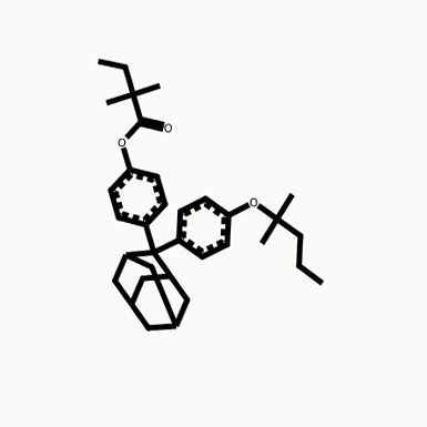 CCCC(C)(C)Oc1ccc(C2(c3ccc(OC(=O)C(C)(C)CC)cc3)C3CC4CC(C3)CC2C4)cc1